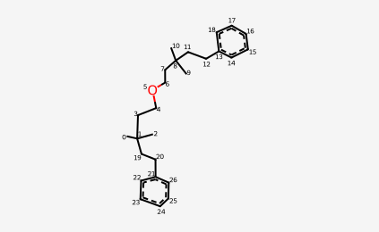 CC(C)(CCOCCC(C)(C)CCc1ccccc1)CCc1ccccc1